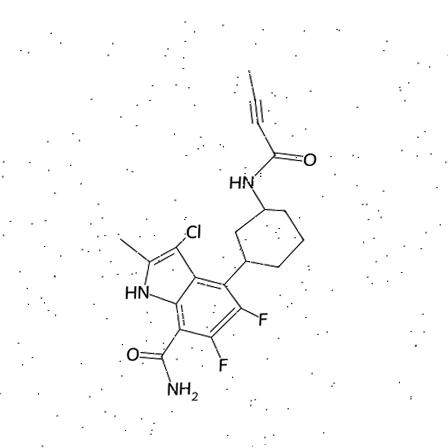 CC#CC(=O)NC1CCCC(c2c(F)c(F)c(C(N)=O)c3[nH]c(C)c(Cl)c23)C1